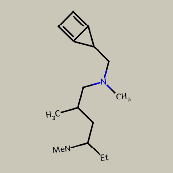 CCC(CC(C)CN(C)CC1C2=CC=C21)NC